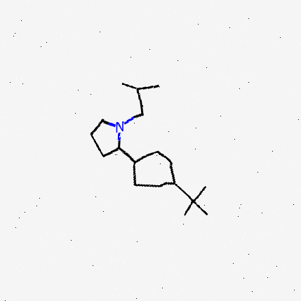 CC(C)CN1CCCC1C1CCC(C(C)(C)C)CC1